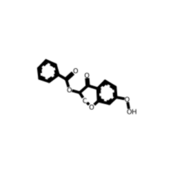 O=C(OC1COc2cc(OO)ccc2C1=O)c1ccccc1